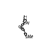 CSc1ccc(C2CCN(C(=O)c3ccc(C4(O)CCNCC4)cc3)CC2)cc1